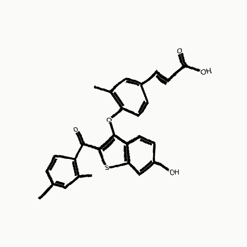 Cc1ccc(C(=O)c2sc3cc(O)ccc3c2Oc2ccc(/C=C/C(=O)O)cc2C)c(C)c1